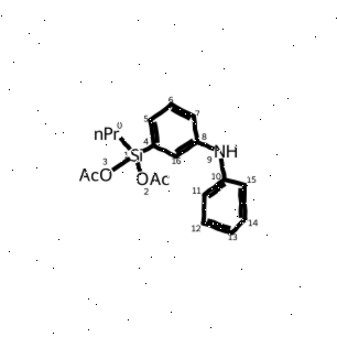 CCC[Si](OC(C)=O)(OC(C)=O)c1cccc(Nc2ccccc2)c1